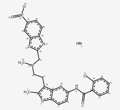 Br.Cc1oc2ccc(NC(=O)c3ccccc3Cl)nc2c1CCN(C)Cc1nc2ccc([N+](=O)[O-])cc2o1